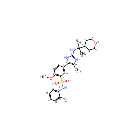 COc1ccc(-c2[nH]c(NC(C)(C)C3CCOCC3)nc2C)cc1S(=O)(=O)Nc1ccccc1Cl